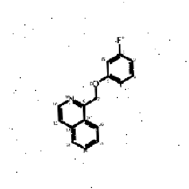 Fc1cccc(OCc2nccc3ccccc23)c1